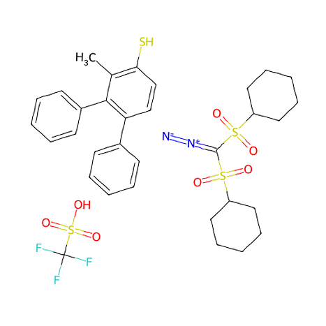 Cc1c(S)ccc(-c2ccccc2)c1-c1ccccc1.O=S(=O)(O)C(F)(F)F.[N-]=[N+]=C(S(=O)(=O)C1CCCCC1)S(=O)(=O)C1CCCCC1